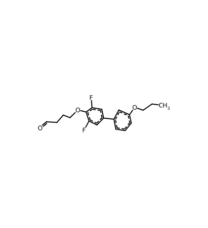 CCCOc1cccc(-c2cc(F)c(OCCCC=O)c(F)c2)c1